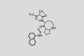 CN[C@@H](C)C(=O)N[C@H]1CCCNC2CC[C@H](C(=O)Nc3cccc4ccccc34)C2C1=O